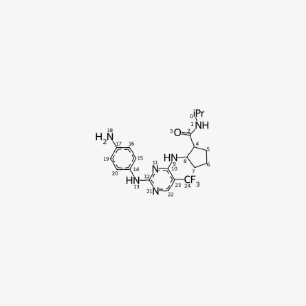 CC(C)NC(=O)C1CCCC1Nc1nc(Nc2ccc(N)cc2)ncc1C(F)(F)F